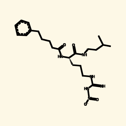 CC(C)C[CH]NC(=O)[C@H](CCCNC(=N)N[N+](=O)[O-])NC(=O)CCCCc1ccccc1